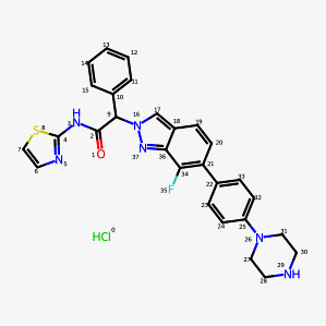 Cl.O=C(Nc1nccs1)C(c1ccccc1)n1cc2ccc(-c3ccc(N4CCNCC4)cc3)c(F)c2n1